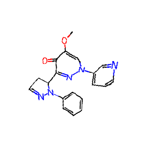 COc1cn(-c2cccnc2)nc(C2CC=NN2c2ccccc2)c1=O